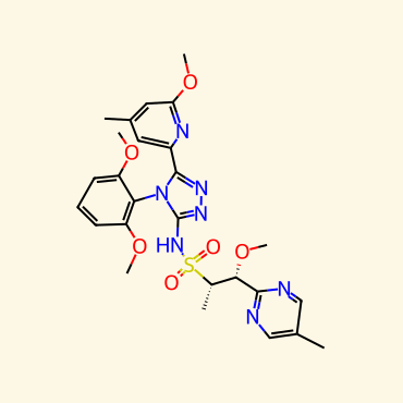 COc1cc(C)cc(-c2nnc(NS(=O)(=O)[C@@H](C)[C@H](OC)c3ncc(C)cn3)n2-c2c(OC)cccc2OC)n1